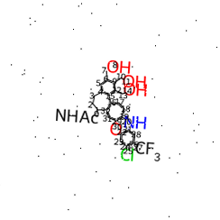 CC(=O)NC1CCc2cc(CO)c(CO)c(CO)c2-c2ccc(Nc3ccc(Cl)c(C(F)(F)F)c3)c(=O)cc21